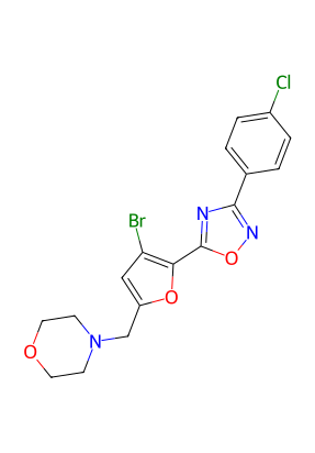 Clc1ccc(-c2noc(-c3oc(CN4CCOCC4)cc3Br)n2)cc1